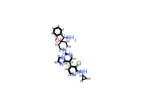 N[C@@H]1c2ccccc2OC12CCN(c1ncc(-c3ccnc(NC4CC4)c3Cl)c3nccn13)CC2